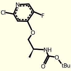 C[C@@H](COc1cc(Cl)ncc1F)NC(=O)OC(C)(C)C